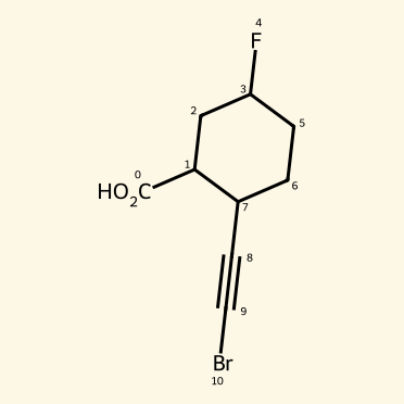 O=C(O)C1CC(F)CCC1C#CBr